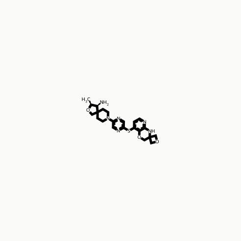 C[C@@H]1OCC2(CCN(c3cnc(Sc4ccnc5c4OCC4(COC4)N5)cn3)CC2)[C@@H]1N